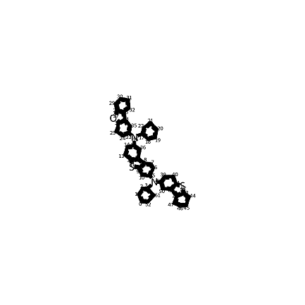 c1ccc(N(c2ccc3c(c2)sc2ccc(N(c4ccccc4)c4ccc5oc6ccccc6c5c4)cc23)c2ccc3sc4ccccc4c3c2)cc1